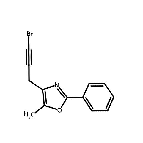 Cc1oc(-c2ccccc2)nc1CC#CBr